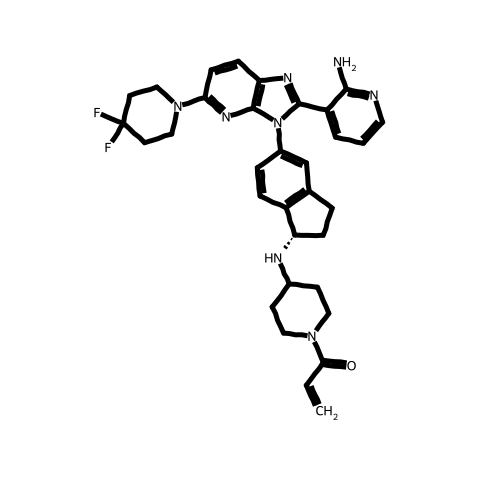 C=CC(=O)N1CCC(N[C@H]2CCc3cc(-n4c(-c5cccnc5N)nc5ccc(N6CCC(F)(F)CC6)nc54)ccc32)CC1